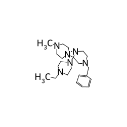 CCN1CCN(C2(N3CCN(C)CC3)CN(Cc3ccccc3)CC[N]2)CC1